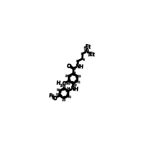 CCN(CC)CCCNC(=O)c1ccc(Nc2ccc(OF)cc2)c(C)c1